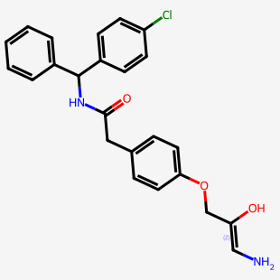 N/C=C(\O)COc1ccc(CC(=O)NC(c2ccccc2)c2ccc(Cl)cc2)cc1